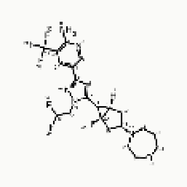 Nc1ncc(-c2cc([C@H]3[C@@H]4C[C@@H](N5CCCOCC5)C[C@@H]43)n(CC(F)F)n2)cc1C(F)(F)F